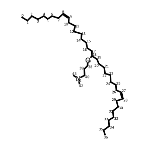 CCCCCCCC/C=C\CCCCCCCCC(CCCCCCCC/C=C\CCCCCCCC)OCCCN(C)C